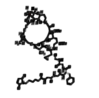 C=C1C[C@@H]2CC[C@]34C[C@H]5OC6(O3)C3[C@@H](O4)[C@H]4O[C@H](CC[C@@H]4O[C@H]3[C@H]56)CC(=O)C[C@@H]3[C@@H](OC)[C@@H](C[C@@H](CNC(=O)[C@H](OCNC(=O)CNC(=O)[C@H](Cc4ccccc4)NC(=O)CNC(=O)CNC(=O)CCCCCN4C(=O)C=CC4=O)C4CC4)OC)O[C@H]3C[C@H]3O[C@@H](CC[C@@H]1O2)C[C@@H](C)C3=C